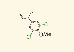 [CH2]C(C=C)c1cc(Cl)c(OC)c(Cl)c1